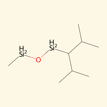 C[SiH2]O[SiH2]C(C(C)C)C(C)C